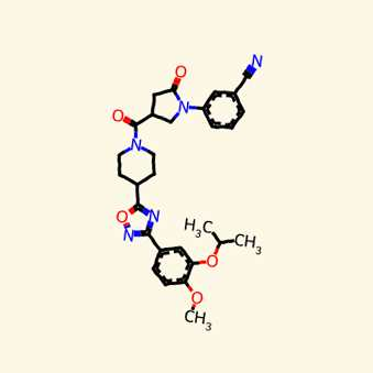 COc1ccc(-c2noc(C3CCN(C(=O)C4CC(=O)N(c5cccc(C#N)c5)C4)CC3)n2)cc1OC(C)C